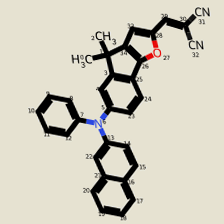 CC1(C)c2cc(N(c3ccccc3)c3ccc4ccccc4c3)ccc2-c2oc(C=C(C#N)C#N)cc21